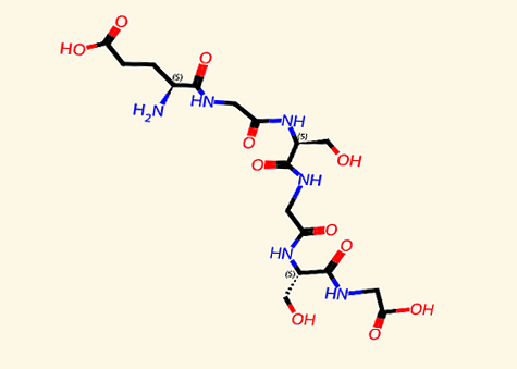 N[C@@H](CCC(=O)O)C(=O)NCC(=O)N[C@@H](CO)C(=O)NCC(=O)N[C@@H](CO)C(=O)NCC(=O)O